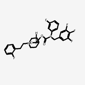 O=C(O[C@H]1C[N+]2(CCc3ccccc3F)CCC1CC2)N(Cc1cc(F)c(F)c(F)c1)c1cccc(F)c1